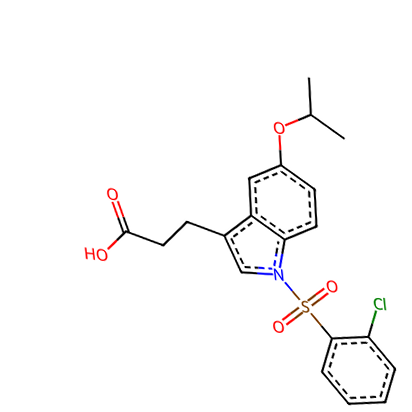 CC(C)Oc1ccc2c(c1)c(CCC(=O)O)cn2S(=O)(=O)c1ccccc1Cl